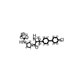 CC(C)(C)OC(=O)N[C@H]1CCN(C(=O)C(N)C(F)(F)c2ccc(-c3ccc(Cl)cc3)cc2)C1